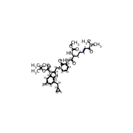 COC(=O)NC(CC/C=C/C(=O)N(C)C)C(=O)Nc1cccn(Cc2nc3c(CC4CC4)cc(F)cc3n2C(=O)OC(C)(C)C)c1=O